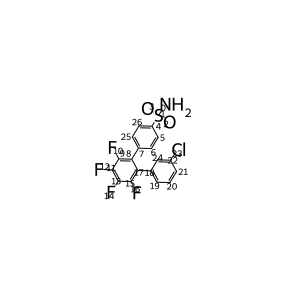 NS(=O)(=O)c1ccc(-c2c(F)c(F)c(F)c(F)c2-c2cccc(Cl)c2)cc1